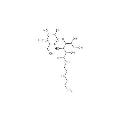 CCCNCCNC(=O)C(O)C(O)C(O[C@@H]1OC(CO)[C@H](O)[C@H](O)C1O)C(O)CO